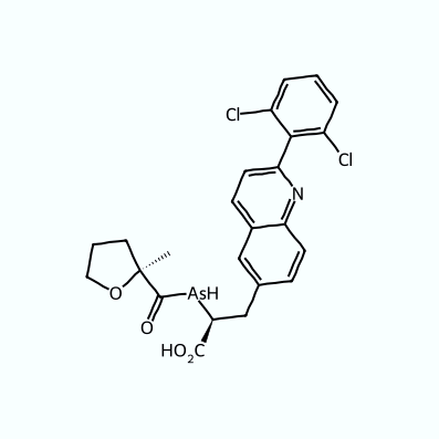 C[C@@]1(C(=O)[AsH][C@@H](Cc2ccc3nc(-c4c(Cl)cccc4Cl)ccc3c2)C(=O)O)CCCO1